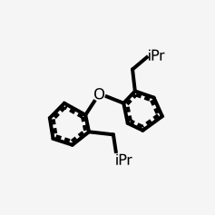 CC(C)Cc1ccccc1Oc1ccccc1CC(C)C